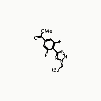 COC(=O)c1cc(F)c(-c2nnn(CC(C)(C)C)n2)c(F)c1